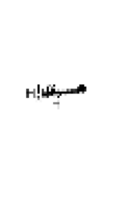 CCCCC(CO)NCCCCCCCCCCc1ccccc1